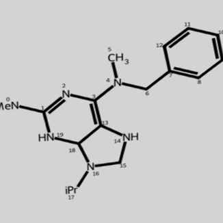 CNC1=NC(N(C)Cc2ccccc2)=C2NCN(C(C)C)C2N1